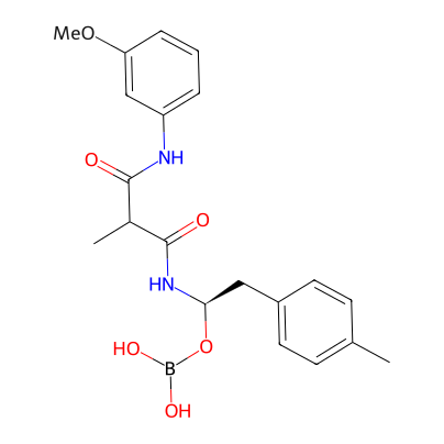 COc1cccc(NC(=O)C(C)C(=O)N[C@@H](Cc2ccc(C)cc2)OB(O)O)c1